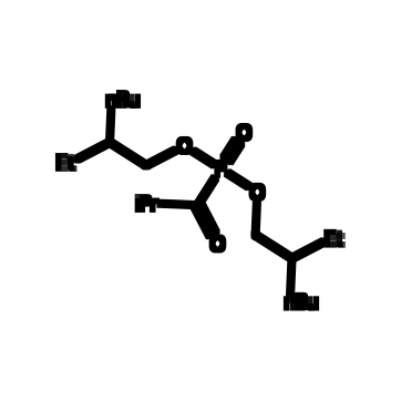 CCCCC(CC)COP(=O)(OCC(CC)CCCC)C(=O)C(C)C